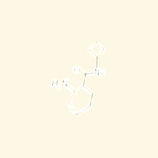 NC1=C(C(=O)NC2CCC2)[CH]CC=C1